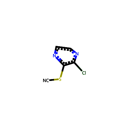 N#CSc1nccnc1Cl